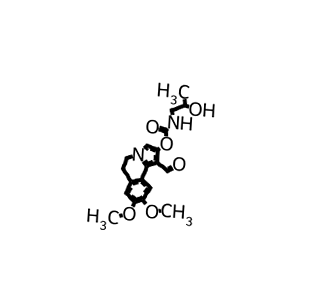 COc1cc2c(cc1OC)-c1c(C=O)c(OC(=O)NCC(C)O)cn1CC2